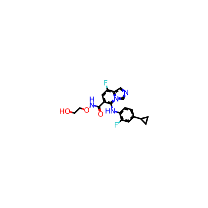 O=C(NOCCO)c1cc(F)c2cncn2c1Nc1ccc(C2CC2)cc1F